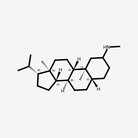 CNC1CC[C@@H]2CC[C@@H]3[C@H](CC[C@]4(C)[C@@H](C(C)C)CC[C@@H]34)[C@@]2(C)C1